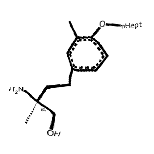 CCCCCCCOc1ccc(CC[C@](C)(N)CO)cc1C